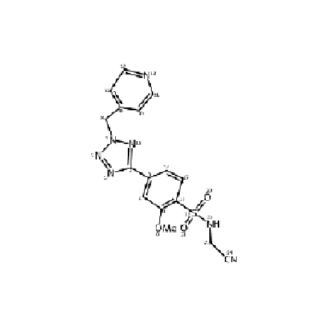 COc1cc(-c2nnn(Cc3ccncc3)n2)ccc1S(=O)(=O)NCC#N